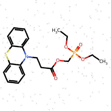 CCOP(=O)(COC(=O)CCN1c2ccccc2Sc2ccccc21)OCC